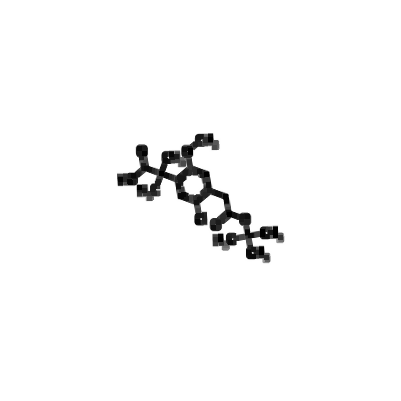 COc1cc(CC(=O)OC(C)(C)C)c(Cl)cc1C(C)(C)C(=O)O